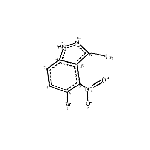 O=[N+]([O-])c1c(Br)ccc2[nH]nc(I)c12